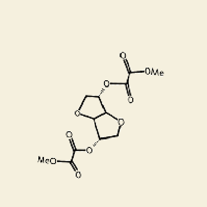 COC(=O)C(=O)O[C@H]1COC2C1OC[C@@H]2OC(=O)C(=O)OC